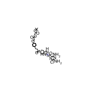 CC(C)(C)OC(=O)COC(=O)COc1ccc(CCC(=O)N2CCC3(CC2)CN/C(=N\C(=O)c2nc(Cl)c(N)nc2N)N3)cc1